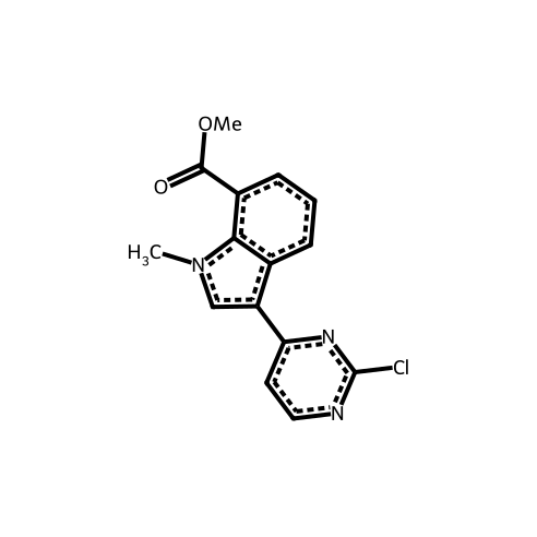 COC(=O)c1cccc2c(-c3ccnc(Cl)n3)cn(C)c12